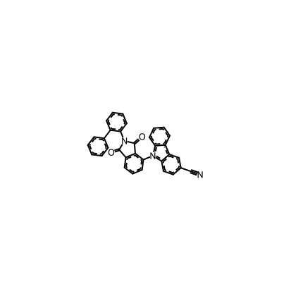 N#Cc1ccc2c(c1)c1ccccc1n2-c1cccc2c1C(=O)N(c1ccccc1-c1ccccc1)C2=O